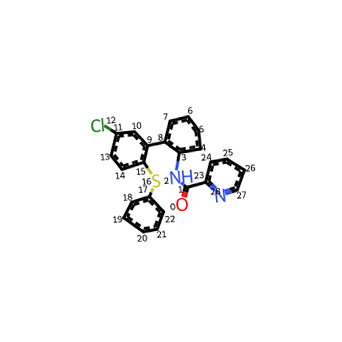 O=C(Nc1ccccc1-c1cc(Cl)ccc1Sc1ccccc1)c1ccccn1